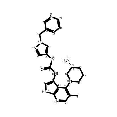 Cc1cnc2[nH]cc(NC(=O)Oc3cnn(Cc4cccnc4)c3)c2c1N1CCC[C@@H](N)C1